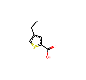 [CH2]Cc1csc(C(=O)O)c1